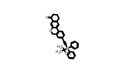 CC(C)(C)[Si](C#Cc1ccc2c(c1)COc1cc3c(cc1-2)CCCC3=O)(c1ccccc1)c1ccccc1